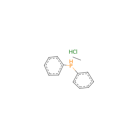 CC.Cl.c1ccc(Pc2ccccc2)cc1